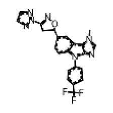 Cn1cnc2c1c1cc(C3CC(n4nccn4)=NO3)ccc1n2-c1ccc(C(F)(F)F)cc1